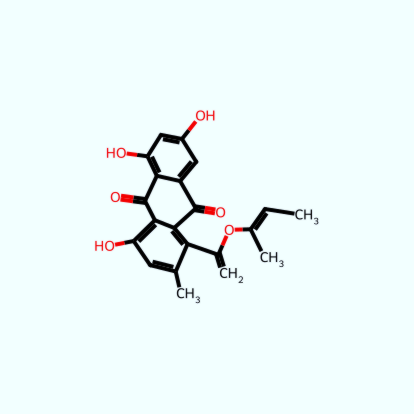 C=C(O/C(C)=C/C)c1c(C)cc(O)c2c1C(=O)c1cc(O)cc(O)c1C2=O